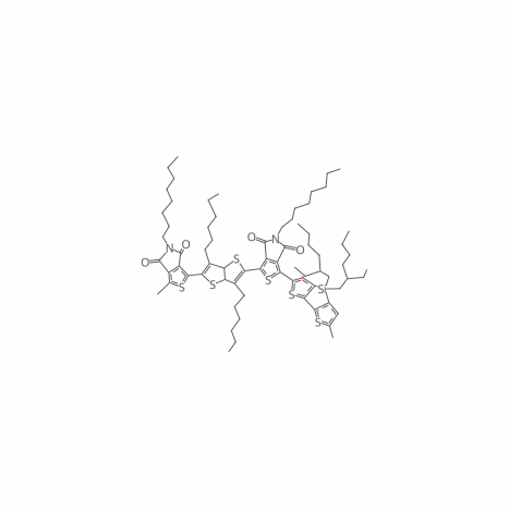 CCCCCCCCN1C(=O)c2c(C)sc(C3=C(CCCCCC)C4SC(c5sc(-c6cc7c(s6)-c6sc(C)cc6[Si]7(CC(CC)CCCC)CC(CC)CCCC)c6c5C(=O)N(CCCCCCCC)C6=O)=C(CCCCCC)C4S3)c2C1=O